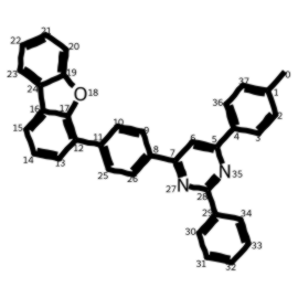 Cc1ccc(-c2cc(-c3ccc(-c4cccc5c4oc4ccccc45)cc3)nc(-c3ccccc3)n2)cc1